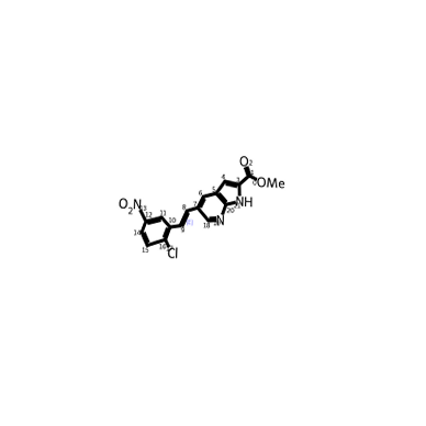 COC(=O)c1cc2cc(/C=C/c3cc([N+](=O)[O-])ccc3Cl)cnc2[nH]1